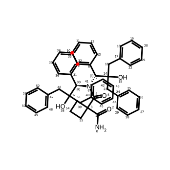 NC(=O)C1(C(=O)N([C@H](c2ccccc2)C(O)(Cc2ccccc2)Cc2ccccc2)[C@H](c2ccccc2)C(O)(Cc2ccccc2)Cc2ccccc2)CCC1